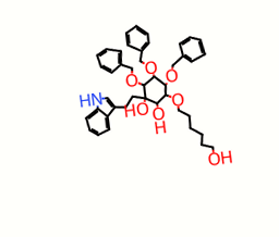 OCCCCCCOC1C(OCc2ccccc2)C(OCc2ccccc2)C(OCc2ccccc2)C(O)(CCc2c[nH]c3ccccc23)C1O